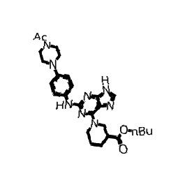 CCCCOC(=O)C1CCCN(c2nc(Nc3ccc(N4CCN(C(C)=O)CC4)cc3)nc3[nH]cnc23)C1